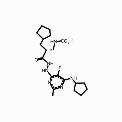 Cc1nc(NNC(=O)[C@@H](CNC(=O)O)CC2CCCC2)c(F)c(NC2CCCC2)n1